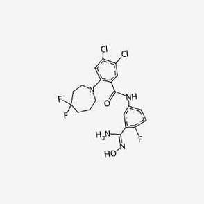 NC(=NO)c1cc(NC(=O)c2cc(Cl)c(Cl)cc2N2CCCC(F)(F)CC2)ccc1F